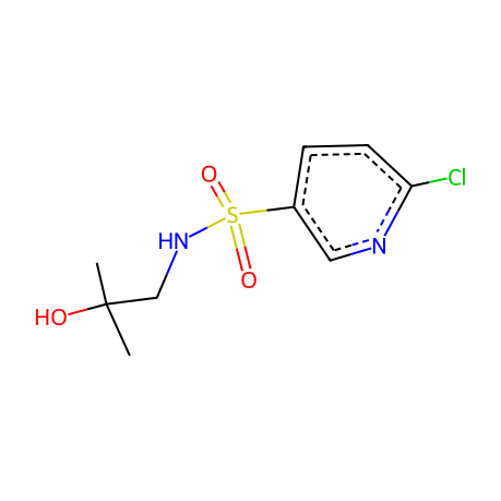 CC(C)(O)CNS(=O)(=O)c1ccc(Cl)nc1